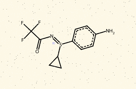 Nc1ccc(/S(=N/C(=O)C(F)(F)F)C2CC2)cc1